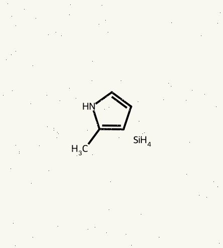 Cc1ccc[nH]1.[SiH4]